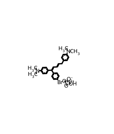 CN(C)c1ccc(CC=CC=C(c2ccc(Br)cc2)c2ccc(N(C)C)cc2)cc1.[O-][Cl+3]([O-])([O-])O